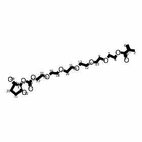 C=C(C)C(=O)OCCOCCOCCOCCOCCOCCOC(=O)ON1C(=O)CCC1=O